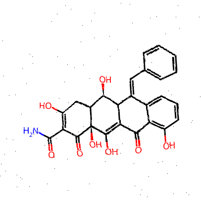 NC(=O)C1=C(O)CC2[C@@H](O)C3C(=C(O)[C@]2(O)C1=O)C(=O)c1c(O)cccc1/C3=C\c1ccccc1